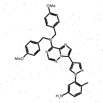 COc1ccc(CN(Cc2ccc(OC)cc2)c2ncnn3c(-c4cnn(-c5cc(N)ccc5C)c4)cnc23)cc1